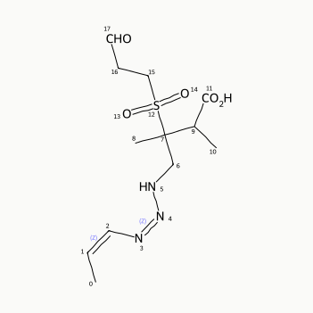 C/C=C\N=N/NCC(C)(C(C)C(=O)O)S(=O)(=O)CCC=O